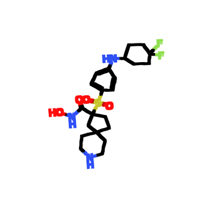 O=C(NO)C1(S(=O)(=O)c2ccc(NC3CCC(F)(F)CC3)cc2)CCC2(CCNCC2)C1